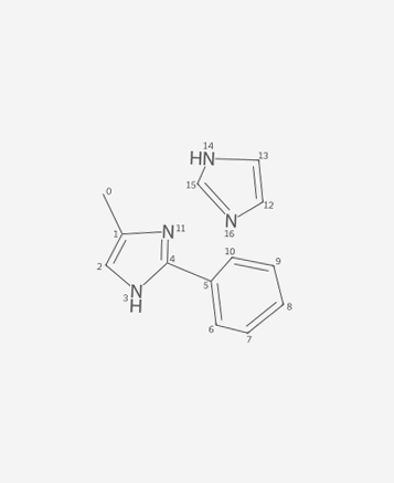 Cc1c[nH]c(-c2ccccc2)n1.c1c[nH]cn1